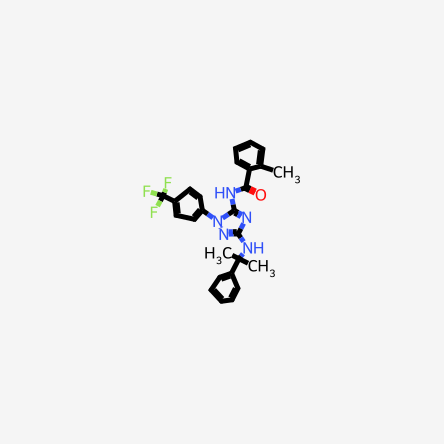 Cc1ccccc1C(=O)Nc1nc(NC(C)(C)c2ccccc2)nn1-c1ccc(C(F)(F)F)cc1